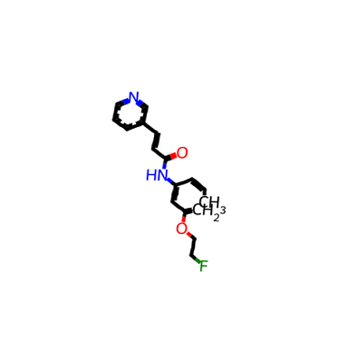 C=C(/C=C(\C=C/C)NC(=O)/C=C/c1cccnc1)OCCF